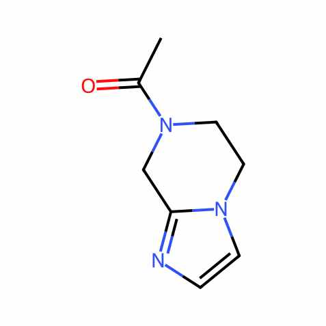 CC(=O)N1CCn2ccnc2C1